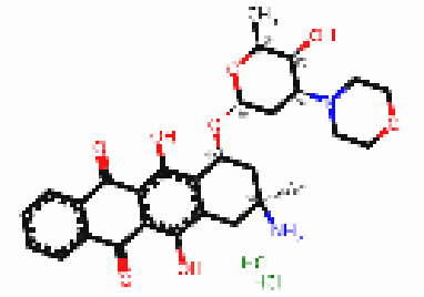 CC(=O)[C@]1(N)Cc2c(O)c3c(c(O)c2[C@@H](O[C@H]2C[C@H](N4CCOCC4)[C@H](O)[C@H](C)O2)C1)C(=O)c1ccccc1C3=O.Cl.Cl